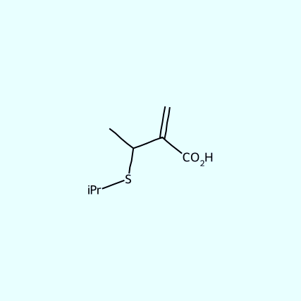 C=C(C(=O)O)C(C)SC(C)C